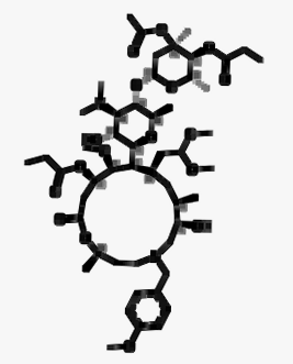 CCC(=O)O[C@@H]1CC(=O)O[C@H](C)CCN(Cc2ccc(OC)cc2)C[C@H](O)[C@H](C)C[C@H](CC(OC)OC)[C@H]([C@@H]2O[C@H](C)[C@@H](O[C@@H]3C[C@@](C)(OC(C)=O)[C@@H](OC(=O)CC)[C@H](C)O3)[C@H](N(C)C)[C@H]2O)[C@@H]1OC